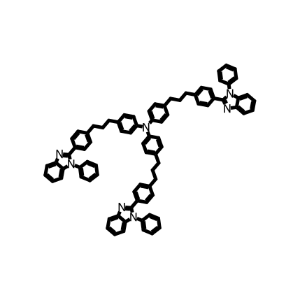 c1ccc(-n2c(-c3ccc(CCCc4ccc(N(c5ccc(CCCc6ccc(-c7nc8ccccc8n7-c7ccccc7)cc6)cc5)c5ccc(CCCc6ccc(-c7nc8ccccc8n7-c7ccccc7)cc6)cc5)cc4)cc3)nc3ccccc32)cc1